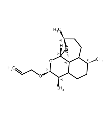 C=CCO[C@H]1O[C@@H]2O[C@@]3(C)CCC4[C@H](C)CCC([C@H]1C)[C@]42OO3